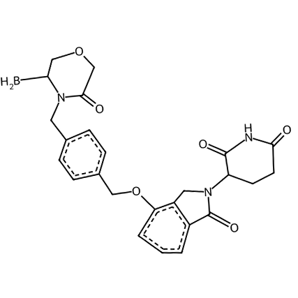 BC1COCC(=O)N1Cc1ccc(COc2cccc3c2CN(C2CCC(=O)NC2=O)C3=O)cc1